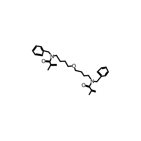 C=C(C)C(=O)N(CCCCOCCCCN(Cc1ccccc1)C(=O)C(=C)C)Cc1ccccc1